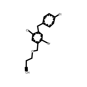 C#CCCOCc1cc(Cl)c(Cc2ccc(CC)cc2)cc1Br